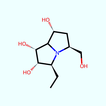 CC[C@H]1[C@H](O)[C@H](O)C2[C@H](O)C[C@@H](CO)N21